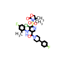 Cc1cc(F)ccc1Nc1c(C(=O)N2CCC(c3ccc(F)cc3)CC2)cnc(S(=O)(=O)N2C(=O)OCC2(C)C)c1Cl